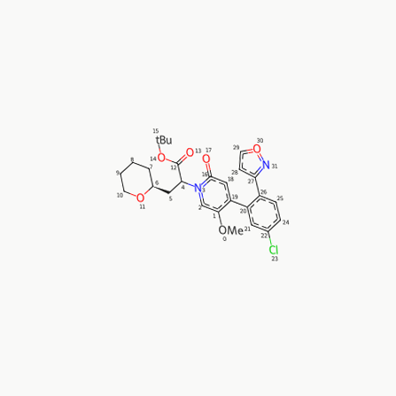 COc1cn(C(C[C@@H]2CCCCO2)C(=O)OC(C)(C)C)c(=O)cc1-c1cc(Cl)ccc1-c1ccon1